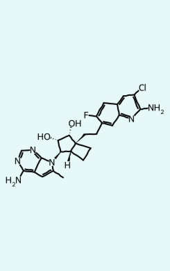 Cc1cc2c(N)ncnc2n1[C@H]1[C@H](O)[C@H](O)[C@]2(CCc3cc4nc(N)c(Cl)cc4cc3F)CC[C@H]12